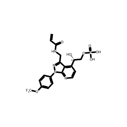 C=CC(=O)NCc1nn(-c2ccc(OC(F)(F)F)cc2)c2nccc([C@H](O)COP(=O)(O)O)c12